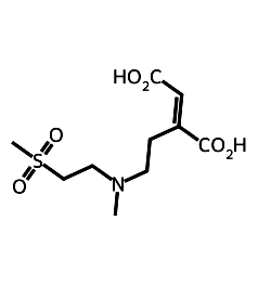 CN(CCC(=CC(=O)O)C(=O)O)CCS(C)(=O)=O